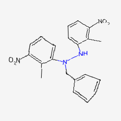 Cc1c(NN(Cc2ccccc2)c2cccc([N+](=O)[O-])c2C)cccc1[N+](=O)[O-]